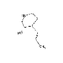 CCCC1CCNCC1.Cl